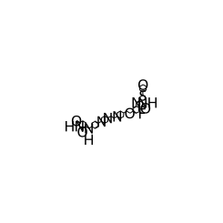 O=C1CCC(Nc2ccc(N3CCN(CCN4CCC(COc5cc(F)c6c(=O)[nH]c(CSC7CCOCC7)nc6c5)CC4)CC3)cc2)C(=O)N1